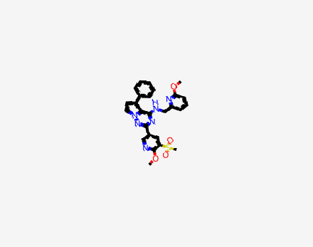 COc1cccc(CNc2nc(-c3cnc(OC)c(S(C)(=O)=O)c3)nn3ccc(-c4ccccc4)c23)n1